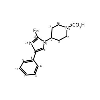 O=C(O)N1CCC(n2cc(-c3ccccc3)nc2F)CC1